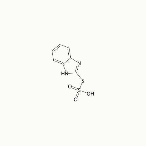 O=S(=O)(O)Sc1nc2ccccc2[nH]1